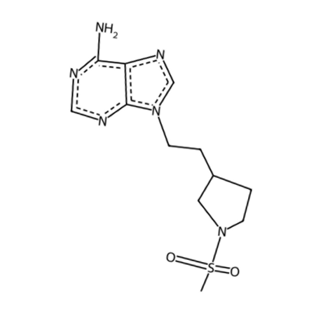 CS(=O)(=O)N1CCC(CCn2cnc3c(N)ncnc32)C1